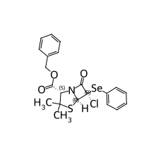 CC1(C)S[C@H]2N(C(=O)[C@@]2(Cl)[Se]c2ccccc2)[C@H]1C(=O)OCc1ccccc1